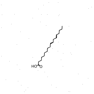 CCCCC=CCC=CCCCCCCCCC(=O)O